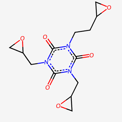 O=c1n(CCC2CO2)c(=O)n(CC2CO2)c(=O)n1CC1CO1